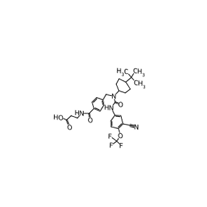 CC(C)(C)C1CCC(N(Cc2ccc(C(=O)NCCC(=O)O)cc2)C(=O)Nc2ccc(OC(F)(F)F)c(C#N)c2)CC1